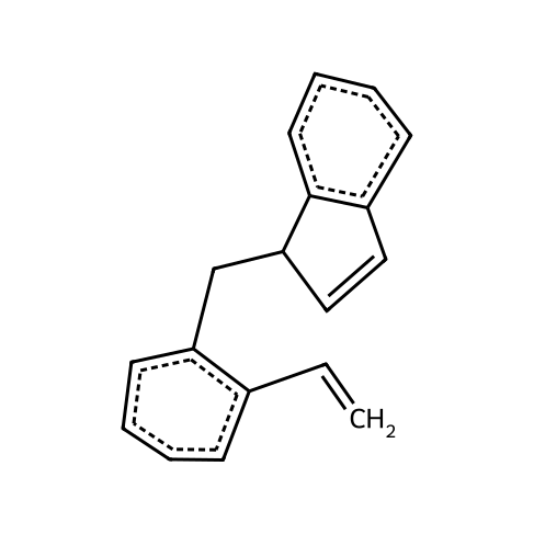 C=Cc1ccccc1CC1C=Cc2ccccc21